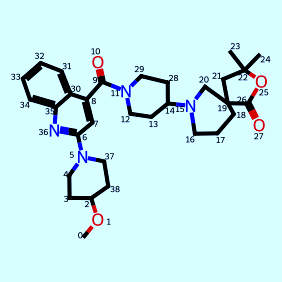 COC1CCN(c2cc(C(=O)N3CCC(N4CCCC5(C4)CC(C)(C)OC5=O)CC3)c3ccccc3n2)CC1